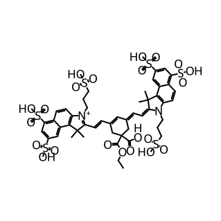 CCOC(=O)C1(C(=O)O)CC(/C=C/C2=[N+](CCCS(=O)(=O)O)c3ccc4c(S(=O)(=O)O)cc(S(=O)(=O)O)cc4c3C2(C)C)=CC(=C/C=C2/N(CCCS(=O)(=O)O)c3ccc4c(S(=O)(=O)O)cc(S(=O)(=O)O)cc4c3C2(C)C)/C1